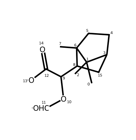 CC1(C)C2CCC1(C)C(C(O[C]=O)C([O])=O)C2